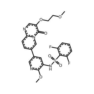 COCCOc1cnc2ccc(-c3cnc(OC)c(NS(=O)(=O)c4c(F)cccc4F)c3)cn2c1=O